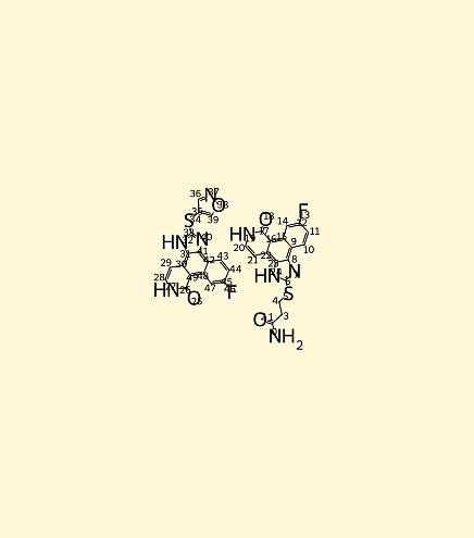 NC(=O)CCSc1nc2c3ccc(F)cc3c3c(=O)[nH]ccc3c2[nH]1.O=c1[nH]ccc2c3[nH]c(Sc4cnoc4)nc3c3ccc(F)cc3c12